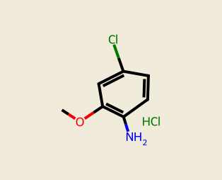 COc1cc(Cl)ccc1N.Cl